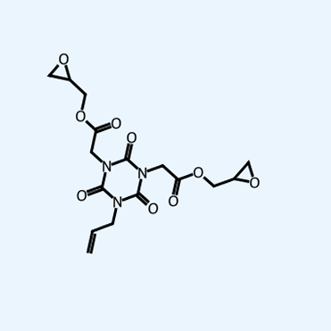 C=CCn1c(=O)n(CC(=O)OCC2CO2)c(=O)n(CC(=O)OCC2CO2)c1=O